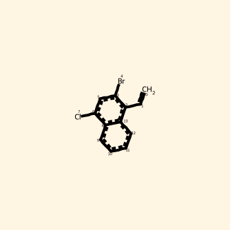 C=Cc1c(Br)cc(Cl)c2ccccc12